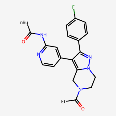 CCCCC(=O)Nc1cc(-c2c(-c3ccc(F)cc3)nn3c2CN(C(=O)CC)CC3)ccn1